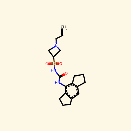 C=CCN1CC(S(=O)(=O)NC(=O)Nc2c3c(cc4c2CCC4)CCC3)C1